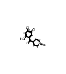 CC(=O)N1CCC(C(=O)c2cc(Cl)c(Cl)cc2O)CC1